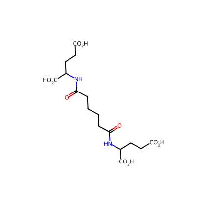 O=C(O)CCC(NC(=O)CCCCC(=O)NC(CCC(=O)O)C(=O)O)C(=O)O